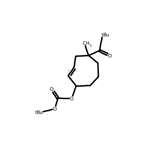 CC(C)(C)OC(=O)OC1/C=C/CC(C)(C(=O)C(C)(C)C)CCC1